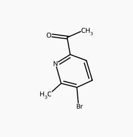 CC(=O)c1ccc(Br)c(C)n1